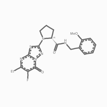 CCc1nc2sc(N3CCC[C@@H]3C(=O)NCc3ccccc3OC)nn2c(=O)c1F